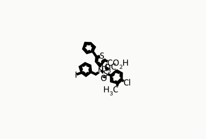 Cc1cc(S(=O)(=O)N(Cc2cccc(I)c2)c2cc(-c3ccccc3)sc2C(=O)O)c(C)cc1Cl